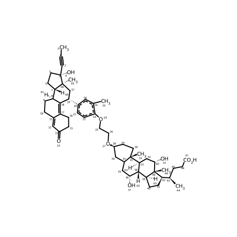 CC#C[C@]1(O)CC[C@H]2[C@@H]3CCC4=CC(=O)CCC4=C3[C@@H](c3ccc(OCCO[C@H]4CC[C@@]5(C)C(C4)C[C@@H](O)[C@H]4[C@@H]6CC[C@H]([C@H](C)CCC(=O)O)[C@@]6(C)[C@@H](O)C[C@@H]45)c(C)c3)C[C@@]21C